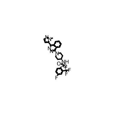 Cn1nccc1-c1nnc(N2CCC(NS(=O)(=O)c3ccc(F)cc3C(F)(F)F)CC2)c2ccccc12